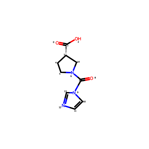 O=C(O)[C@H]1CCN(C(=O)n2ccnc2)C1